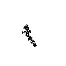 COc1ccc(-c2[nH]c3ccc(-c4cnc(N5CCN(C6CCCC6)CC5)nc4)cc3c2C(C)C)cc1OC